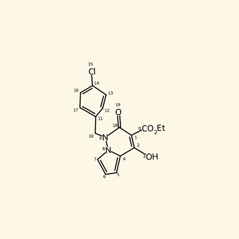 CCOC(=O)c1c(O)c2cccn2n(Cc2ccc(Cl)cc2)c1=O